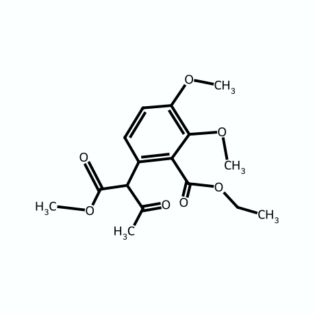 CCOC(=O)c1c(C(C(C)=O)C(=O)OC)ccc(OC)c1OC